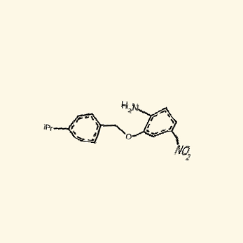 CC(C)c1ccc(COc2cc([N+](=O)[O-])ccc2N)cc1